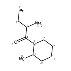 CC(C)CC(N)C(=O)N1CCSCC1C#N